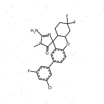 CN1C(=O)C2(N=C1N)c1cc(-c3cc(F)cc(Cl)c3)ccc1OC1CC(F)(F)CCC12